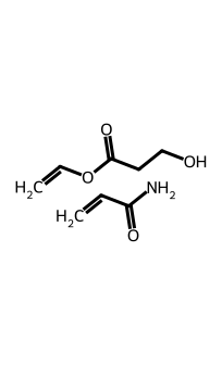 C=CC(N)=O.C=COC(=O)CCO